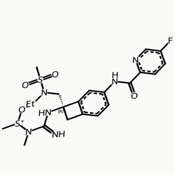 CCN(C[C@@]1(NC(=N)N(C)[S+](C)[O-])Cc2ccc(NC(=O)c3ccc(F)cn3)cc21)S(C)(=O)=O